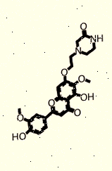 COc1cc(-c2cc(=O)c3c(O)c(OC)c(OCCN4CCNC(=O)C4)cc3o2)ccc1O